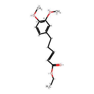 CCOC(=O)/C=C/CCc1ccc(OC)c(OC)c1